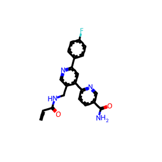 C=CC(=O)NCc1cnc(-c2ccc(F)cc2)cc1-c1ccc(C(N)=O)cn1